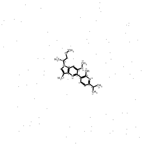 COC[C@H](C)n1cc(C)c2nc(-c3ccc(C(C)C)nc3O)c(OC)cc21